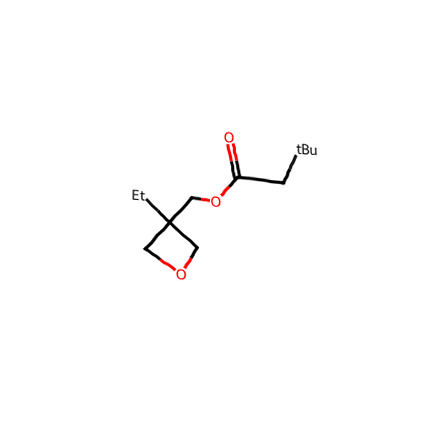 CCC1(COC(=O)CC(C)(C)C)COC1